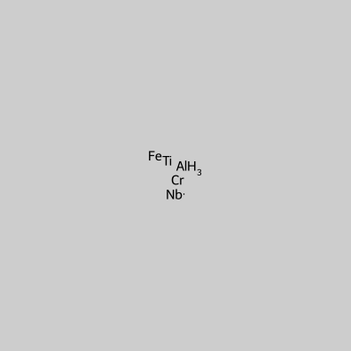 [AlH3].[Cr].[Fe].[Nb].[Ti]